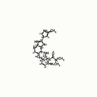 CN(C)C(=O)[C@@H]1[C@H](Nc2c(Cl)cnc3[nH]c(-c4cnn(C)c4)nc23)[C@H]2C=C[C@@H]1C2